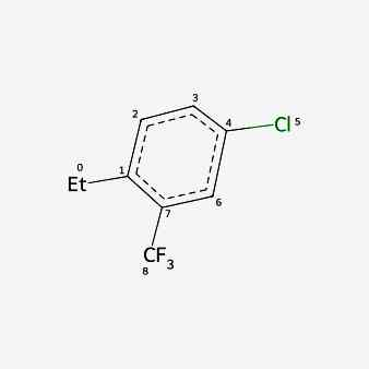 [CH2]Cc1ccc(Cl)cc1C(F)(F)F